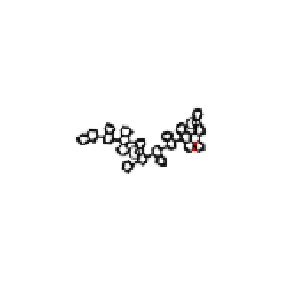 c1ccc(-c2ccc3c(oc4ccccc43)c2-c2c3ccccc3c(-c3ccc(-c4ccc(-c5ccc(-c6ccccc6)c6oc7c(-c8c9ccccc9c(-c9ccc(-c%10ccc%11ccccc%11c%10)c%10ccccc9%10)c9ccccc89)cccc7c56)c5ccccc45)c4ccccc34)c3ccccc23)cc1